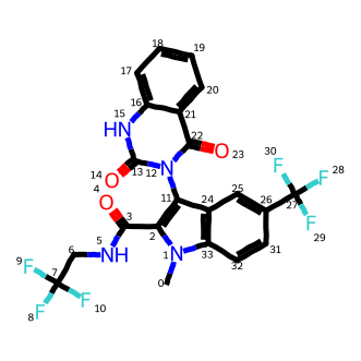 Cn1c(C(=O)NCC(F)(F)F)c(-n2c(=O)[nH]c3ccccc3c2=O)c2cc(C(F)(F)F)ccc21